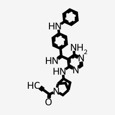 C#CC(=O)N1CC2CC(Nc3ncnc(N)c3C(=N)c3ccc(Nc4ccccc4)cc3)C1C2